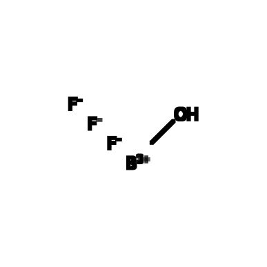 CO.[B+3].[F-].[F-].[F-]